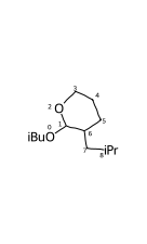 CC(C)COC1OCCCC1CC(C)C